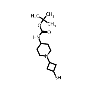 CC(C)(C)OC(=O)NC1CCN(C2CC(S)C2)CC1